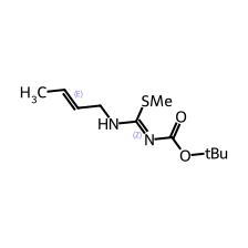 C/C=C/CN/C(=N/C(=O)OC(C)(C)C)SC